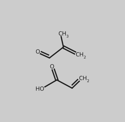 C=C(C)C=O.C=CC(=O)O